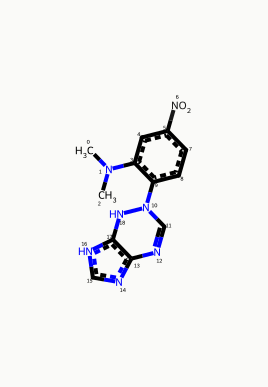 CN(C)c1cc([N+](=O)[O-])ccc1N1C=Nc2nc[nH]c2N1